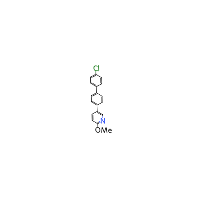 COc1ccc(-c2ccc(-c3ccc(Cl)cc3)cc2)cn1